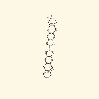 CC1(C)CC2C=CC1C1=C2Sc2cc3c(cc2S1)S/C(=C1\Sc2cc4c(cc2S1)SC1=C(S4)C2C=CC1C(C)(C)C2)S3